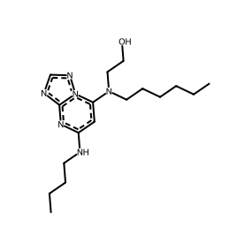 CCCCCCN(CCO)c1cc(NCCCC)nc2ncnn12